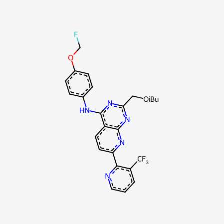 CC(C)COCc1nc(Nc2ccc(OCF)cc2)c2ccc(-c3ncccc3C(F)(F)F)nc2n1